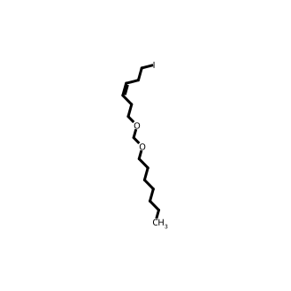 CCCCCCCOCOCC/C=C\CCI